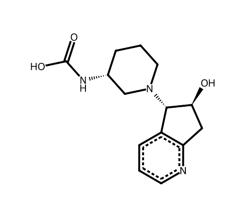 O=C(O)N[C@@H]1CCCN([C@H]2c3cccnc3C[C@@H]2O)C1